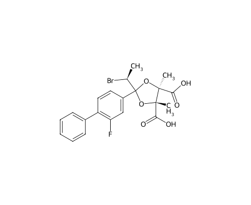 C[C@H](Br)C1(c2ccc(-c3ccccc3)c(F)c2)O[C@@](C)(C(=O)O)[C@](C)(C(=O)O)O1